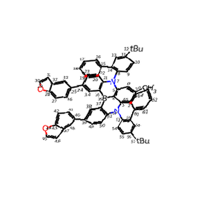 Cc1cc2c3c(c1)N(c1ccc(C(C)(C)C)cc1-c1ccccc1)c1ccc(-c4ccc5occc5c4)cc1B3c1cc(-c3ccc4occc4c3)ccc1N2c1ccc(C(C)(C)C)cc1-c1ccccc1